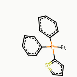 CC[P](c1ccccc1)(c1ccccc1)c1cccs1